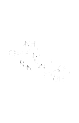 Nc1nc(N2CC(O)(C(F)(F)F)C2)nnc1Cl